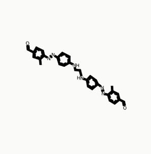 Cc1cc(C=O)ccc1/N=N/c1ccc(NCCNc2ccc(/N=N/c3ccc(C=O)cc3C)cc2)cc1